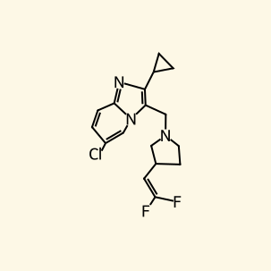 FC(F)=CC1CCN(Cc2c(C3CC3)nc3ccc(Cl)cn23)C1